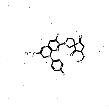 CCOC(=O)C1=Cc2cc(F)c(N3CCC4(C3)C(=O)CC(CO)C4=O)nc2N(c2ccc(F)cc2)C1